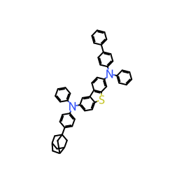 c1ccc(-c2ccc(N(c3ccccc3)c3ccc4c(c3)sc3ccc(N(c5ccccc5)c5ccc(C67CC8CC(C6)C(C8)C7)cc5)cc34)cc2)cc1